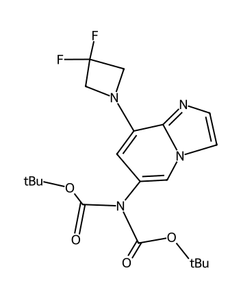 CC(C)(C)OC(=O)N(C(=O)OC(C)(C)C)c1cc(N2CC(F)(F)C2)c2nccn2c1